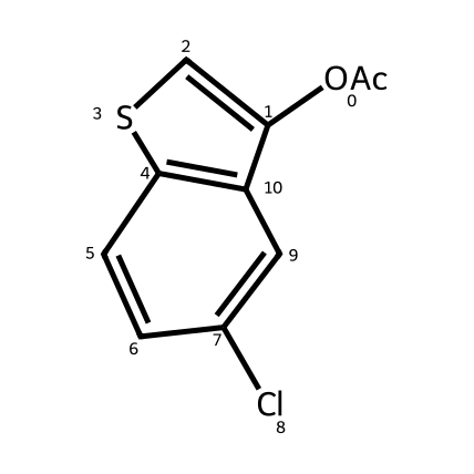 CC(=O)Oc1csc2ccc(Cl)cc12